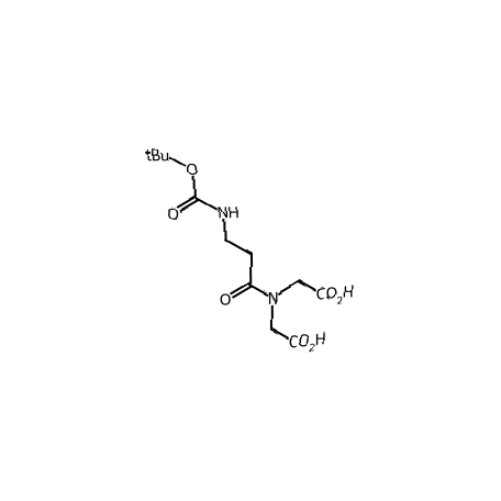 CC(C)(C)OC(=O)NCCC(=O)N(CC(=O)O)CC(=O)O